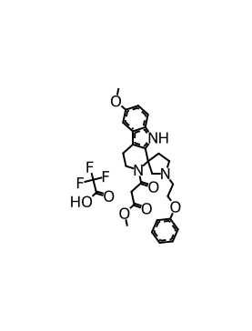 COC(=O)CC(=O)N1CCc2c([nH]c3ccc(OC)cc23)C12CCN(CCOc1ccccc1)C2.O=C(O)C(F)(F)F